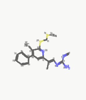 C=N/C(N)=N\C=C(/C)c1cc(-c2ccccc2)c(C#N)c(SCSCCCC)n1